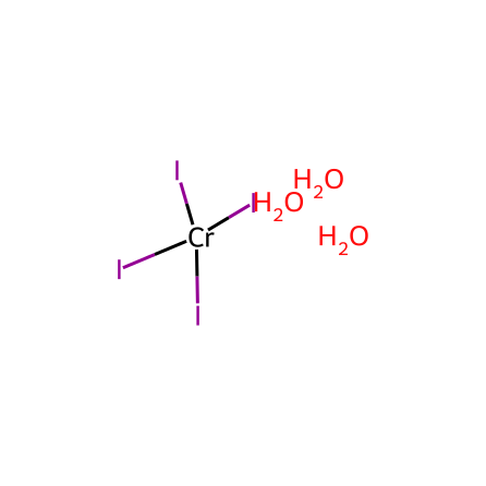 O.O.O.[I][Cr]([I])([I])[I]